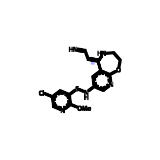 COc1ncc(Cl)cc1SNc1cnc2c(c1)/C(=C/C=N)NCCO2